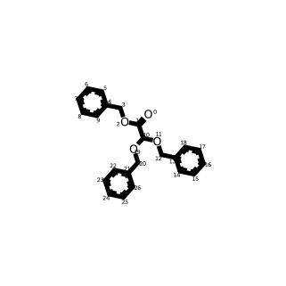 O=C(OCc1ccccc1)C(OCc1ccccc1)OCc1ccccc1